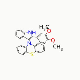 COc1ccc(-c2[nH]c3ccccc3c2N2c3ccccc3Sc3ccccc32)cc1OC